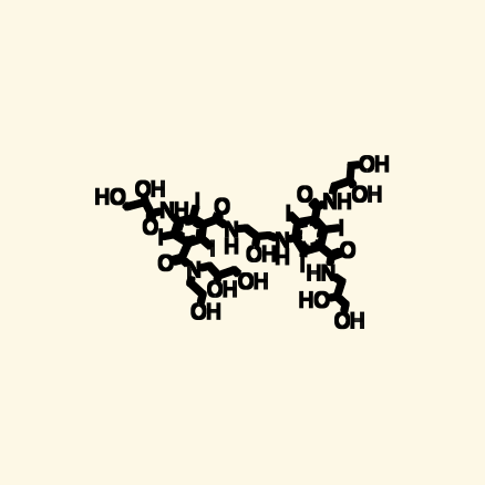 O=C(NCC(O)CO)c1c(I)c(NCC(O)CNC(=O)c2c(I)c(NC(=O)C(O)CO)c(I)c(C(=O)N(CCO)CC(O)CO)c2I)c(I)c(C(=O)NCC(O)CO)c1I